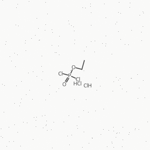 CCOP(=O)(Cl)Cl.Cl.Cl